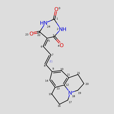 O=C1NC(=O)C(=C/C=C/c2cc3c4c(c2)CCCN4CCC3)C(=O)N1